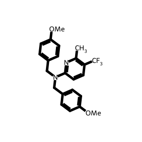 COc1ccc(CN(Cc2ccc(OC)cc2)c2ccc(C(F)(F)F)c(C)n2)cc1